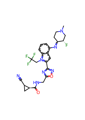 CN1CC/C(=N\c2cccc3c2cc(-c2noc(CNC(=O)[C@H]4CC4C#N)n2)n3CC(F)(F)F)[C@@H](F)C1